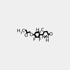 CCC(=O)COc1ccc(C2=NNC(=O)CC2C)c(F)c1F